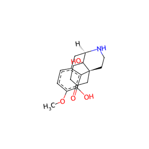 COc1ccc2c(c1O)[C@]13CCN[C@H](C2)[C@]1(O)CCC(=O)C3